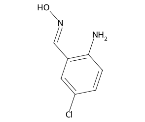 Nc1ccc(Cl)cc1C=NO